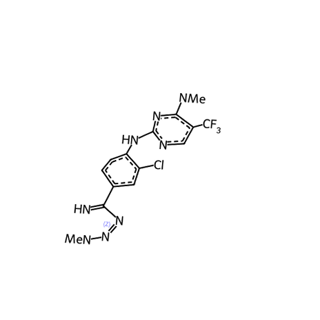 CN/N=N\C(=N)c1ccc(Nc2ncc(C(F)(F)F)c(NC)n2)c(Cl)c1